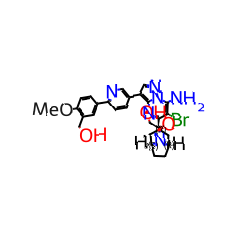 COc1ccc(-c2ccc(-c3cnn4c(N)c(Br)c([C@H]5C[C@H]6CC[C@@H](C5)N6C(=O)CO)nc34)cn2)cc1CO